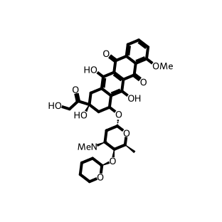 CN[C@H]1C[C@H](OC2C[C@](O)(C(=O)CO)Cc3c(O)c4c(c(O)c32)C(=O)c2c(OC)cccc2C4=O)O[C@@H](C)[C@H]1O[C@@H]1CCCCO1